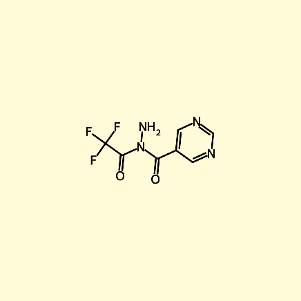 NN(C(=O)c1cncnc1)C(=O)C(F)(F)F